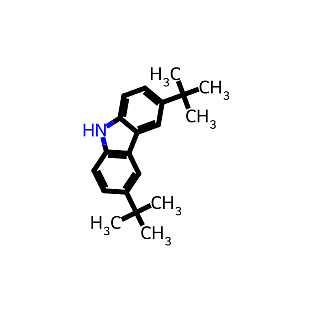 CC(C)(C)c1ccc2[nH]c3ccc(C(C)(C)C)cc3c2c1